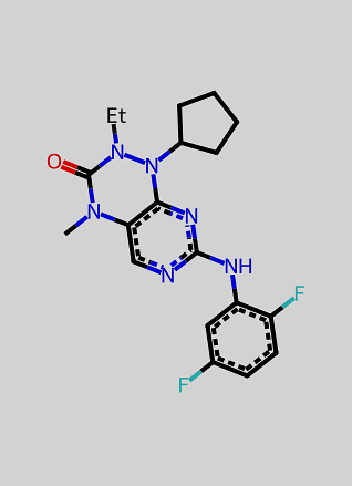 CCN1C(=O)N(C)c2cnc(Nc3cc(F)ccc3F)nc2N1C1CCCC1